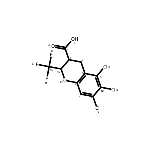 O=C(O)C1Cc2c(cc(Cl)c(Cl)c2Cl)OC1C(F)(F)F